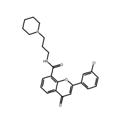 O=C(NCCCN1CCCCC1)c1cccc2c(=O)cc(-c3cccc(Cl)c3)oc12